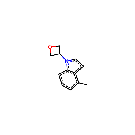 Cc1cccc2c1ccn2C1COC1